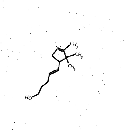 CC1=CC[C@H](C=CCCCO)C1(C)C